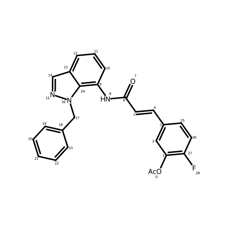 CC(=O)Oc1cc(/C=C/C(=O)Nc2cccc3cnn(Cc4ccccc4)c23)ccc1F